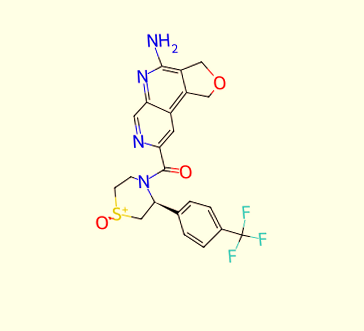 Nc1nc2cnc(C(=O)N3CC[S@+]([O-])C[C@@H]3c3ccc(C(F)(F)F)cc3)cc2c2c1COC2